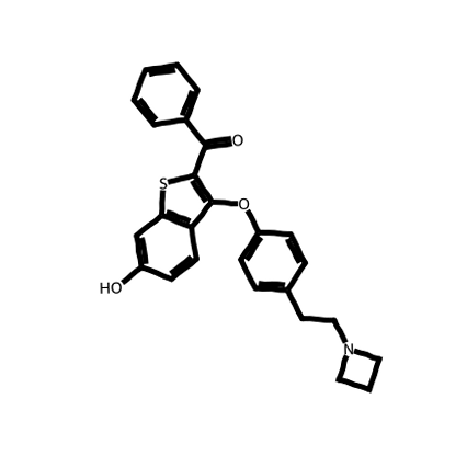 O=C(c1ccccc1)c1sc2cc(O)ccc2c1Oc1ccc(CCN2CCC2)cc1